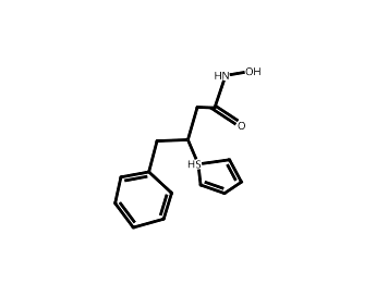 O=C(CC(Cc1ccccc1)[SH]1C=CC=C1)NO